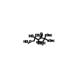 CCCCCCCCCCC(CCCCCCCCCC)(CCCCCCCCCC)C(=O)C(C(=O)O)C(O)(CC(=O)O)C(=O)O